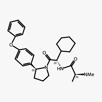 CN[C@@H](C)C(=O)N[C@H](C(=O)N1CCC[C@H]1c1ccc(Oc2ccccc2)cc1)C1CCCCC1